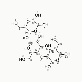 OCC1O[C@H](O)C(O)O[C@@H]1O[C@H]1OC(CO)[C@@H](O[C@H]2OC(CO)[C@@H](O)OC2O)C(O)C1O